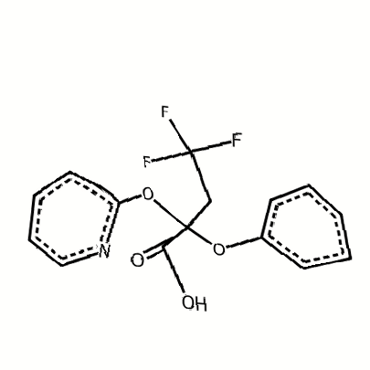 O=C(O)C(CC(F)(F)F)(Oc1ccccc1)Oc1ccccn1